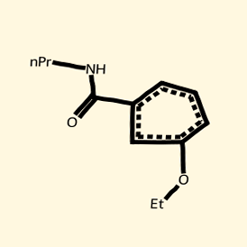 CCCNC(=O)c1cccc(OCC)c1